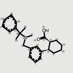 CN(Cc1cccc([C@@H]2CCCC[C@@H]2C(=O)O)c1)C(C)(C)c1ccccc1